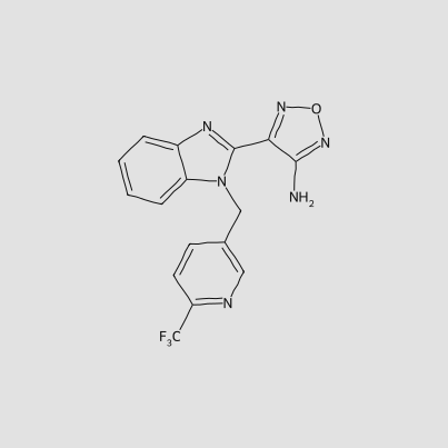 Nc1nonc1-c1nc2ccccc2n1Cc1ccc(C(F)(F)F)nc1